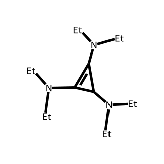 CCN(CC)C1=C(N(CC)CC)C1N(CC)CC